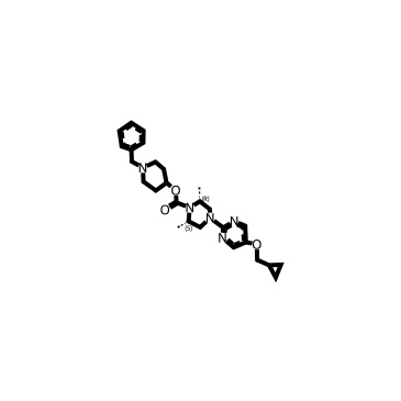 C[C@@H]1CN(c2ncc(OCC3CC3)cn2)C[C@H](C)N1C(=O)OC1CCN(Cc2ccccc2)CC1